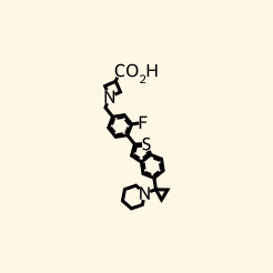 O=C(O)C1CN(Cc2ccc(-c3cc4cc(C5(N6CCCCC6)CC5)ccc4s3)c(F)c2)C1